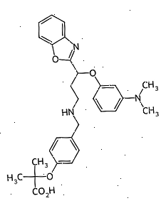 CN(C)c1cccc(OC(CCNCc2ccc(OC(C)(C)C(=O)O)cc2)c2nc3ccccc3o2)c1